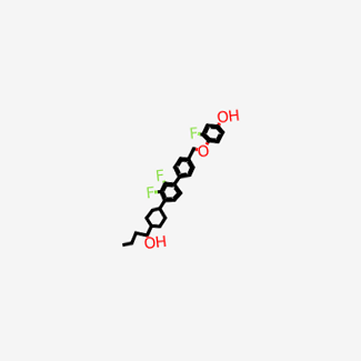 CCCC(O)C1CCC(c2ccc(-c3ccc(COc4ccc(O)cc4F)cc3)c(F)c2F)CC1